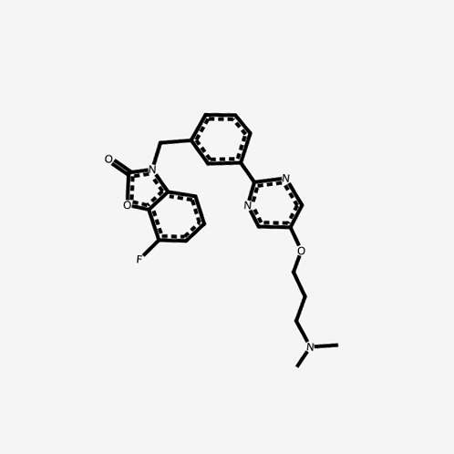 CN(C)CCCOc1cnc(-c2cccc(Cn3c(=O)oc4c(F)cccc43)c2)nc1